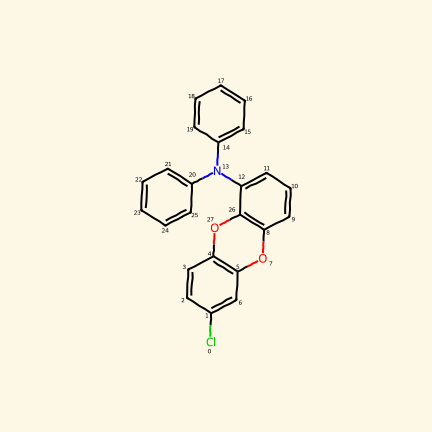 Clc1ccc2c(c1)Oc1cccc(N(c3ccccc3)c3ccccc3)c1O2